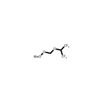 COOCOC(C(F)(F)F)C(F)(F)F